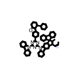 C/C=C\C1=C(C)C2(c3cc4c(cc31)c1ccccc1n4-c1nc(-c3ccc4c(c3)oc3cccc(-c5ccccc5)c34)nc(-n3c4ccccc4c4ccccc43)n1)c1ccccc1-c1ccccc12